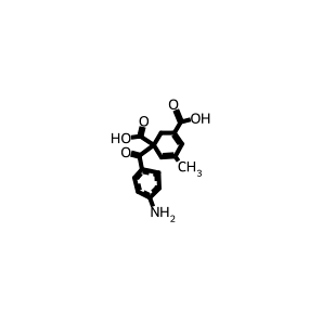 CC1=CC(C(=O)O)(C(=O)c2ccc(N)cc2)CC(C(=O)O)=C1